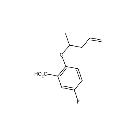 C=CCC(C)Oc1ccc(F)cc1C(=O)O